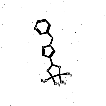 CC1(C)OB(c2cnn(Cc3cccnc3)c2)OC1(C)C